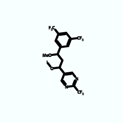 COC(CC(OI)c1cnc(C(F)(F)F)nc1)c1cc(C(F)(F)F)cc(C(F)(F)F)c1